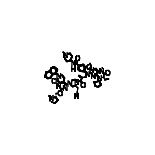 C=C(CN(c1ncc2c(n1)N(C1CCCC1)[C@H](CC)C(=O)N2C)c1ccc(C(=O)NC2CCN(C)CC2)cc1OC)C(=O)N1CCN(c2nc(OC[C@@H]3CCCN3C)nc3c2CCN(c2cccc4cccc(Cl)c24)C3)C[C@@H]1CC#N